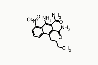 CCCCc1c(C(N)=O)c(C(N)=O)c(N)c2c([N+](=O)[O-])cccc12